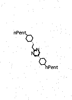 CCCCC[C@H]1CC[C@H](CCc2ncc([C@H]3CC[C@H](CCCCC)CC3)cn2)CC1